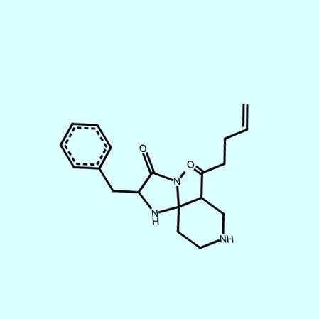 C=CCCC(=O)C1CNCCC12NC(Cc1ccccc1)C(=O)N2C